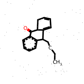 CCCCC1C2=CC=CCC2C(=O)c2ccccc21